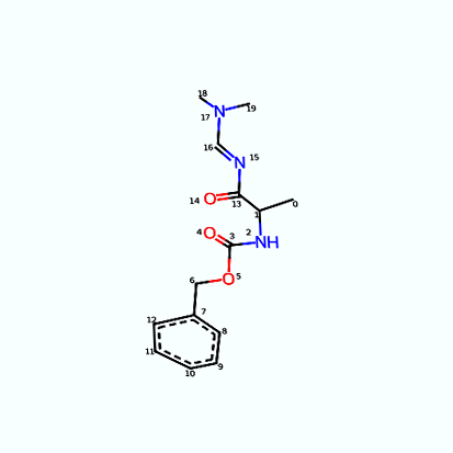 CC(NC(=O)OCc1ccccc1)C(=O)/N=C/N(C)C